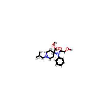 COCC(=O)N(c1ccccc1)C1(C(=O)OC)CCN(CC(C)C)CC1